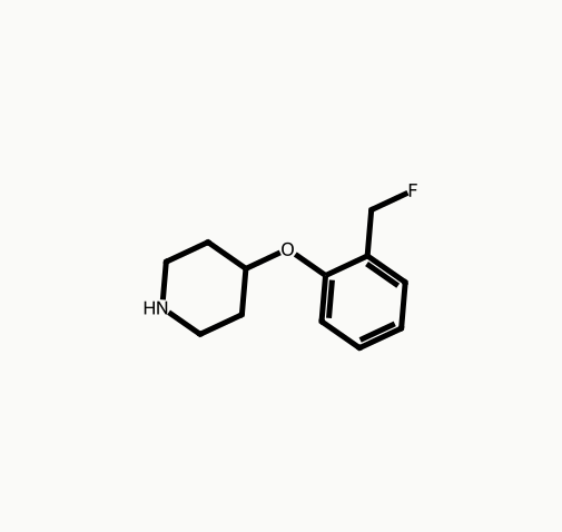 FCc1ccccc1OC1CCNCC1